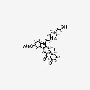 COc1ccc2c(c1)c(/C=C1\Oc3cccc(O)c3C1=O)c(C)n2CCN1CCN(CCO)CC1